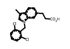 Cc1cn(Cc2c(Cl)cccc2Cl)c2cc(CCC(=O)O)ccc12